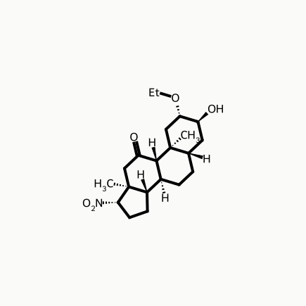 CCO[C@H]1C[C@@]2(C)[C@@H](CC[C@H]3[C@@H]4CC[C@H]([N+](=O)[O-])[C@@]4(C)CC(=O)[C@@H]32)C[C@@H]1O